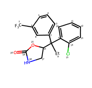 CCC(c1cccc(C(F)(F)F)c1)(c1ccccc1Cl)C1CNC(=O)O1